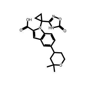 CC1(C)CC(c2ccc3c(c2)cc(C(=O)O)n3C2(c3noc(=O)[nH]3)CC2)CCO1